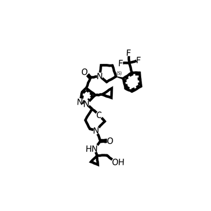 O=C(NC1(CO)CC1)N1CCC(n2ncc(C(=O)N3CC[C@@H](c4ccccc4C(F)(F)F)C3)c2C2CC2)CC1